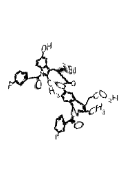 CCC(C)C(C(=O)Oc1ccc2c(c1)c(CC(=O)O)c(C)n2C(=O)c1cccc(F)c1)c1c(C)n(C(=O)c2cccc(F)c2)c2ccc(O)cc12